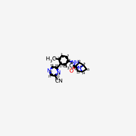 Cc1ccc(NC(=O)N2C3CC(C)CC2C3)cc1-c1cncc(C#N)n1